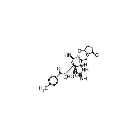 Cc1ccc(C(=O)NC2CN3C(=N)N[C@@H](CN4C(=O)CCC4=O)[C@@H]4NC(=N)N[C@@]43C2(O)O)cc1